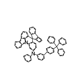 c1ccc(N(c2cccc(-c3ccc(C(c4ccccc4)(c4ccccc4)c4ccccc4)cc3)c2)c2ccc3c(c2)-n2c4ccccc4c4cccc(c42)C32c3ccccc3-c3ccccc32)cc1